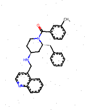 Cc1cccc(C(=O)N2CC[C@H](NCc3ccnc4ccccc34)C[C@H]2Cc2ccccc2)c1